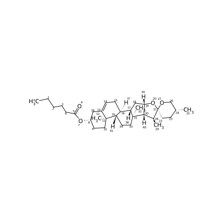 CCCCCC(=O)O[C@H]1CC[C@@]2(C)C(=CC[C@H]3[C@@H]4C[C@@H]5O[C@]6(CC[C@@H](C)CO6)[C@@H](C)[C@@H]5[C@@]4(C)CC[C@@H]32)C1